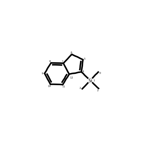 C[Si](C)(C)C1=C[C]c2ccccc21